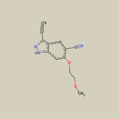 C#Cc1n[nH]c2cc(OCCOC)c(C#N)cc12